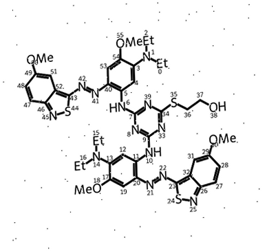 CCN(CC)c1cc(Nc2nc(Nc3cc(N(CC)CC)c(OC)cc3/N=N/c3snc4ccc(OC)cc34)nc(SCCO)n2)c(/N=N/c2snc3ccc(OC)cc23)cc1OC